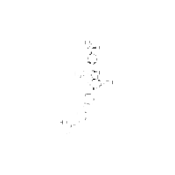 Cc1cc(C2CCN(C3CCN(CC(C)C)CC3)CC2)nc2c1nc(-c1ccc(S(C)(=O)=O)cc1)n2C